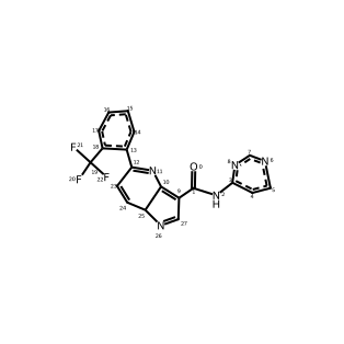 O=C(Nc1ccncn1)C1=C2N=C(c3ccccc3C(F)(F)F)C=CC2N=C1